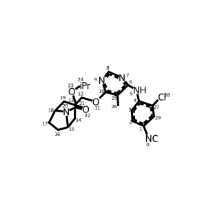 [C-]#[N+]c1ccc(Nc2ncnc(OCC3CC4CCC(C3)N4C(=O)OC(C)C)c2C)c(Cl)c1